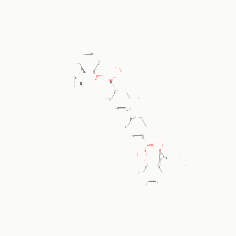 O=C(Oc1ccccc1[N+](=O)[O-])c1ccc(-c2ccc(C(=O)Oc3ccccc3[N+](=O)[O-])cc2)cc1